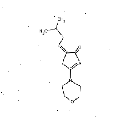 CC(C)CC=C1SC(N2CCOCC2)=NC1=O